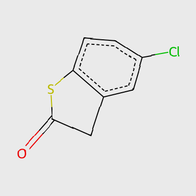 O=C1Cc2cc(Cl)ccc2S1